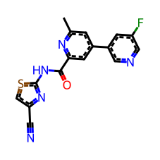 Cc1cc(-c2cncc(F)c2)cc(C(=O)Nc2nc(C#N)cs2)n1